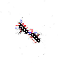 CCO[C@H]1[C@H]2[C@H](N)C(O)=C(C(N)=O)C(=O)[C@@]2(O)C(O)=C2C(=O)c3c(ccc(NC(=O)C4=C(O)[C@@H](N)[C@@H]5[C@H](OC(C)=O)[C@@H]6Cc7cccc(O)c7C(=O)C6=C(O)[C@]5(O)C4=O)c3O)C[C@H]21